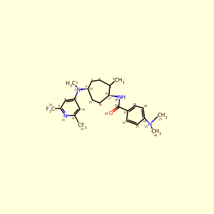 CC1CC[C@H](N(C)c2cc(C(F)(F)F)nc(C(F)(F)F)c2)CC[C@@H]1NC(=O)c1ccc(N(C)C)cc1